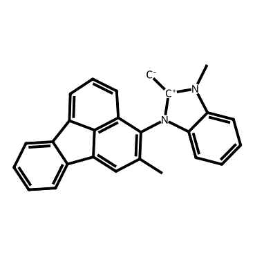 [CH2-][c+]1n(C)c2ccccc2n1-c1c(C)cc2c3c(cccc13)-c1ccccc1-2